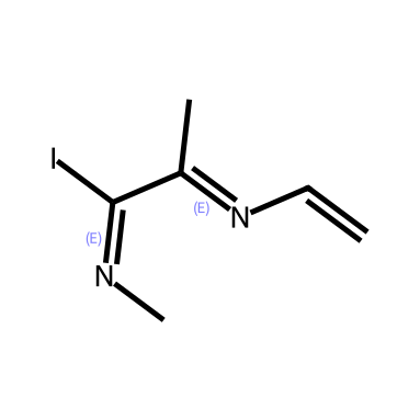 C=C/N=C(C)/C(I)=N\C